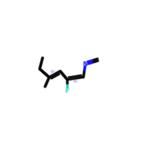 C=N/C=C(F)\C=C(/C)CC